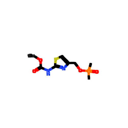 CC(C)(C)OC(=O)Nc1nc(COP(C)(C)=O)cs1